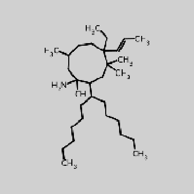 CC=CC1(CC)CCC(C)CC(C)(N)C(C(CCCCCC)CCCCCC)CC1(C)C